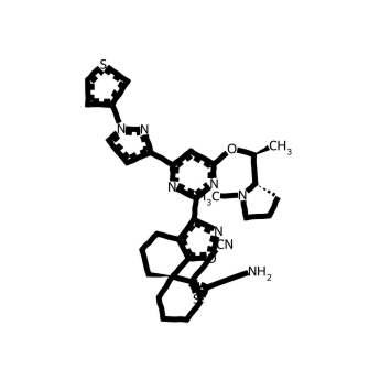 C[C@H](Oc1cc(-c2ccn(-c3ccsc3)n2)nc(-c2noc3c2CCC[C@@]32CCCc3sc(N)c(C#N)c32)n1)[C@@H]1CCCN1C